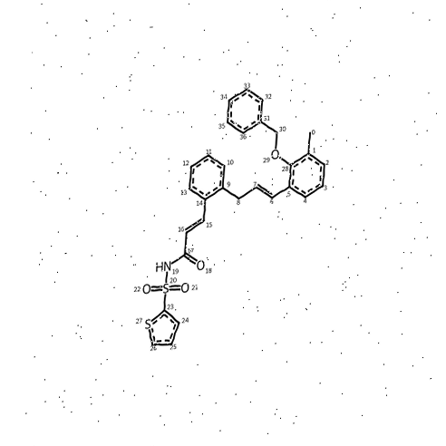 Cc1cccc(C=CCc2ccccc2C=CC(=O)NS(=O)(=O)c2cccs2)c1OCc1ccccc1